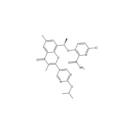 Cc1cc([C@@H](C)Oc2ccc(Cl)nc2C(N)=O)c2oc(-c3cnc(OC(C)C)nc3)c(C)c(=O)c2c1